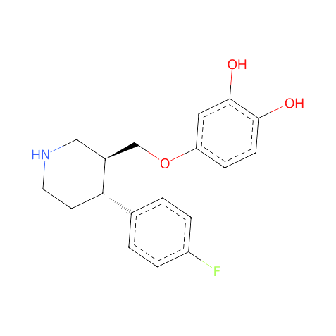 Oc1ccc(OC[C@@H]2CNCC[C@H]2c2ccc(F)cc2)cc1O